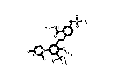 CNC(=O)c1cc(NS(C)(=O)=O)ccc1/C=C/c1cc(-n2ccc(=O)[nH]c2=O)cc(C(C)(C)C)c1OC